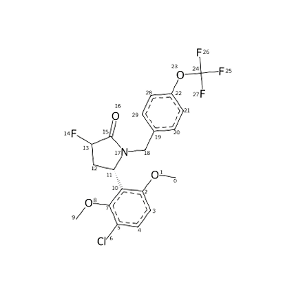 COc1ccc(Cl)c(OC)c1[C@@H]1CC(F)C(=O)N1Cc1ccc(OC(F)(F)F)cc1